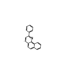 [c]1cc(-c2ccccc2)nc2c1ccc1ccccc12